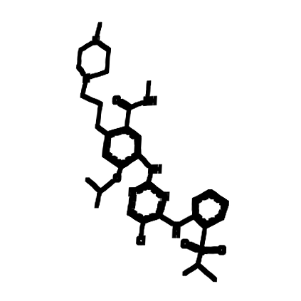 CNC(=O)c1cc(Nc2ncc(Cl)c(Nc3ccccc3S(=O)(=O)C(C)C)n2)c(OC(C)C)cc1CCCN1CCN(C)CC1